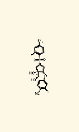 Cc1cc(C(F)(F)F)ccc1S(=O)(=O)N1CC(Oc2ccc(C#N)c(F)c2)[C@](O)(CO)C1